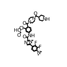 CN(C)c1ccc(-c2cnc(C(=O)Nc3ccc(C(=O)N4CCN(C(=O)C5CCNCC5)CC4)c(Cl)c3)n2C)c(F)c1F.O=CO